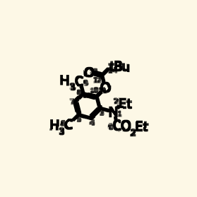 CCOC(=O)N(CC)c1cc(C)cc(C)c1OC(=O)C(C)(C)C